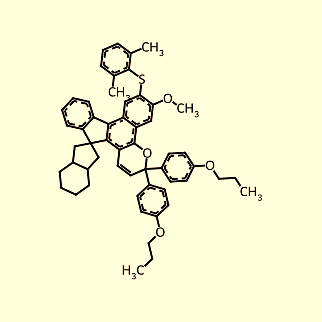 CCCOc1ccc(C2(c3ccc(OCCC)cc3)C=Cc3c4c(c5cc(Sc6c(C)cccc6C)c(OC)cc5c3O2)-c2ccccc2C42CC3CCCCC3C2)cc1